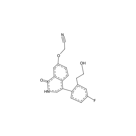 N#CCOc1ccc2c(-c3ccc(F)cc3CCO)c[nH]c(=O)c2c1